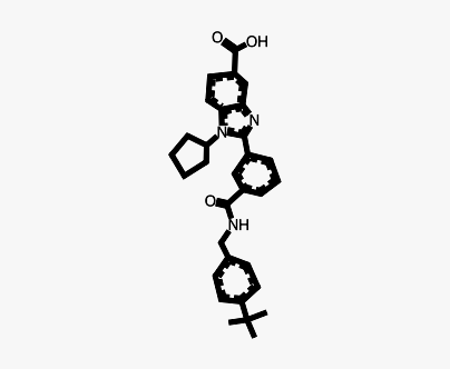 CC(C)(C)c1ccc(CNC(=O)c2cccc(-c3nc4cc(C(=O)O)ccc4n3C3CCCC3)c2)cc1